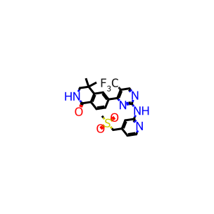 CC1(C)CNC(=O)c2ccc(-c3nc(Nc4cc(CS(C)(=O)=O)ccn4)ncc3C(F)(F)F)cc21